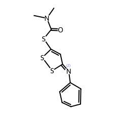 CN(C)C(=O)Sc1c/c(=N/c2ccccc2)ss1